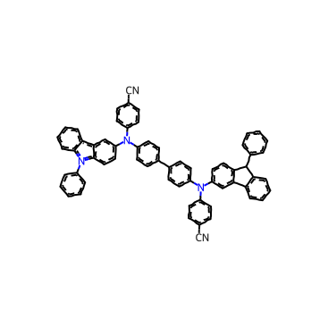 N#Cc1ccc(N(c2ccc(-c3ccc(N(c4ccc(C#N)cc4)c4ccc5c(c4)c4ccccc4n5-c4ccccc4)cc3)cc2)c2ccc3c(c2)-c2ccccc2C3c2ccccc2)cc1